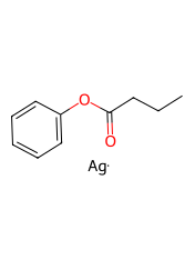 CCCC(=O)Oc1ccccc1.[Ag]